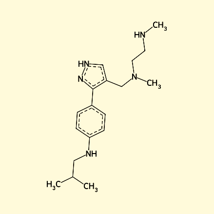 CNCCN(C)Cc1c[nH]nc1-c1ccc(NCC(C)C)cc1